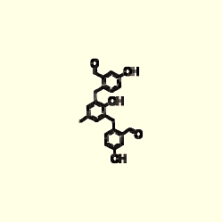 Cc1cc(Cc2ccc(O)cc2C=O)c(O)c(Cc2ccc(O)cc2C=O)c1